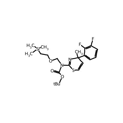 CC(C)(C)OC(=O)N(COCC[Si](C)(C)C)C1=NC(C)(c2cccc(F)c2F)C=CS1